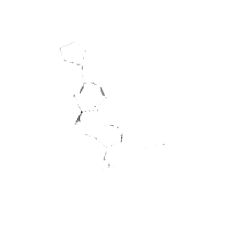 C[C@@]1(O)[C@H](O)[C@@H](CO)O[C@H]1n1ccc(N2CCCC2)nc1=O